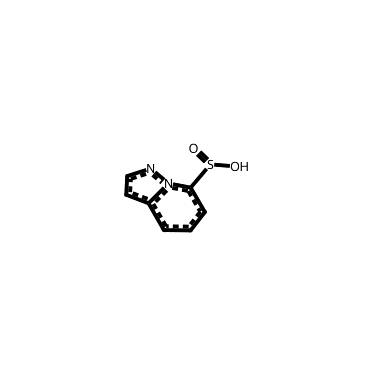 O=S(O)c1cccc2ccnn12